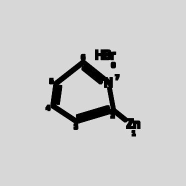 Br.[Zn][c]1ccccn1